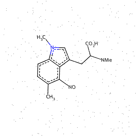 CNC(Cc1cn(C)c2ccc(C)c(N=O)c12)C(=O)O